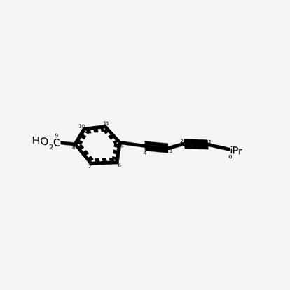 CC(C)C#CC#Cc1ccc(C(=O)O)cc1